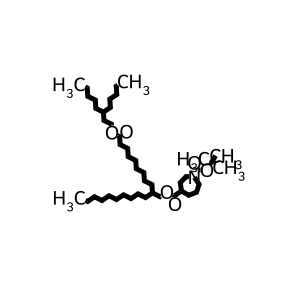 CCCCCCCCCCC(CCCCCCCCC(=O)OCCC(CCCCC)CCCCC)COC(=O)C1CCCN(C(=O)OC(C)(C)C)CC1